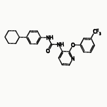 O=C(Nc1ccc(C2CCCCC2)cc1)Nc1cccnc1Oc1cccc(C(F)(F)F)c1